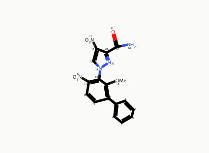 COc1c(-c2ccccc2)ccc([N+](=O)[O-])c1-n1cc([N+](=O)[O-])c(C(N)=O)n1